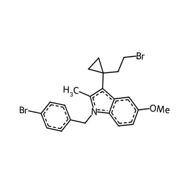 COc1ccc2c(c1)c(C1(CCBr)CC1)c(C)n2Cc1ccc(Br)cc1